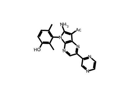 CC(=O)c1c(N)n(-c2c(C)ccc(O)c2C)c2ncc(-c3cnccn3)nc12